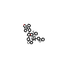 c1ccc2c(c1)-c1ccccc1C21c2ccccc2-c2ccc(-c3ccc(-c4ccc5oc6cccc(-c7nc(-c8ccc9c(c8)oc8ccccc89)nc(-c8cccc9sc%10ccccc%10c89)n7)c6c5c4)cc3)cc21